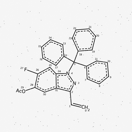 C=Cc1nn(C(c2ccccc2)(c2ccccc2)c2ccccc2)c2cc(F)c(OC(C)=O)cc12